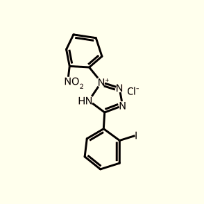 O=[N+]([O-])c1ccccc1-[n+]1nnc(-c2ccccc2I)[nH]1.[Cl-]